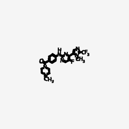 CN1CCN(C(=O)c2ccc(Nc3ncc(F)c(-c4cnc(C(F)(F)F)n4C)n3)cc2)CC1